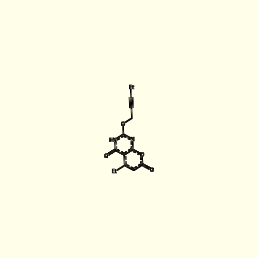 CCC#CCOc1nc2oc(=O)cc(CC)c2c(=O)[nH]1